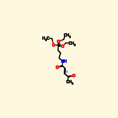 CCO[Si](CCCNC(=O)/C=C/C(C)=O)(OCC)OCC